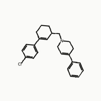 Clc1ccc(C2=CC(CN3CC=C(c4ccccc4)CC3)CCC2)cc1